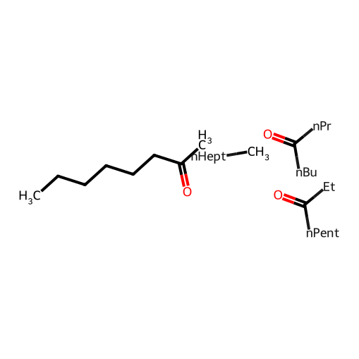 CCCCC(=O)CCC.CCCCCC(=O)CC.CCCCCCC(C)=O.CCCCCCCC